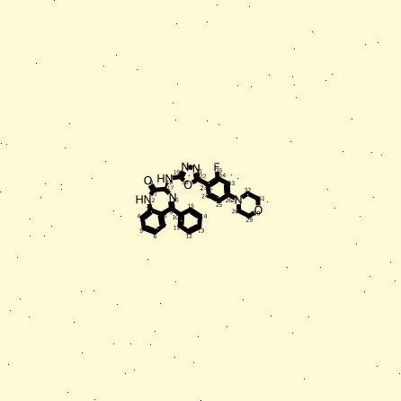 O=C1Nc2ccccc2C(c2ccccc2)=N[C@@H]1Nc1nnc(-c2ccc(N3CCOCC3)cc2F)o1